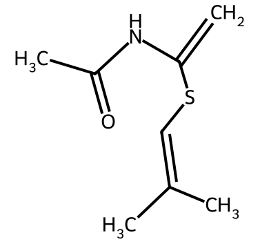 C=C(NC(C)=O)SC=C(C)C